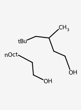 CC(CCO)CC(C)(C)C.CCCCCCCCCCO